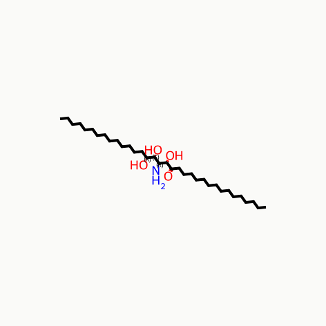 CCCCCCCCCCCCCCCC(=O)C(O)[C@H](N)[C@H](O)[C@H](O)CCCCCCCCCCCCCC